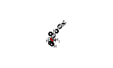 NC(=O)C12CC3C[C@H](C1)C(NC(=O)N1CCN(c4ccc(N5CCN(CC(F)(F)F)CC5)cn4)c4ccccc41)[C@@H](C3)C2